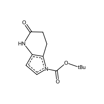 CC(C)(C)OC(=O)n1ccc2c1CCC(=O)N2